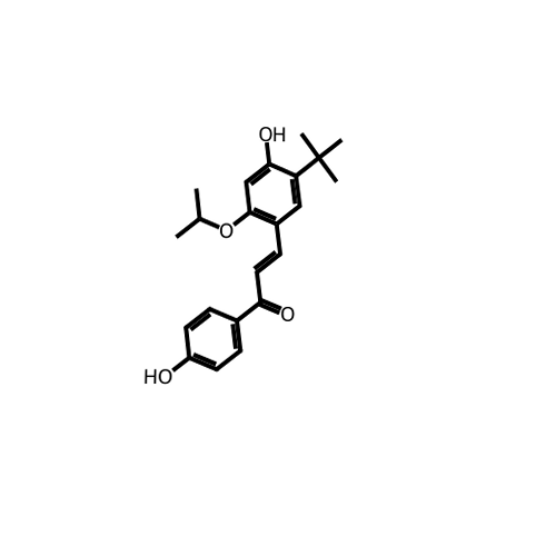 CC(C)Oc1cc(O)c(C(C)(C)C)cc1C=CC(=O)c1ccc(O)cc1